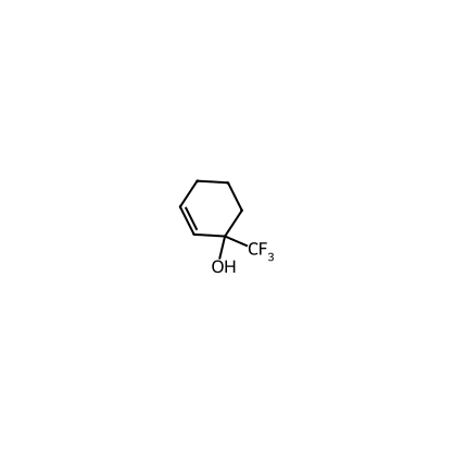 OC1(C(F)(F)F)C=CCCC1